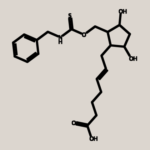 O=C(O)CCCC=CCC1C(O)CC(O)C1COC(=S)NCc1ccccc1